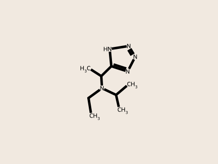 CCN(C(C)C)C(C)c1nnn[nH]1